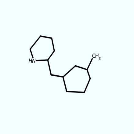 CC1CCCC(CC2CCCCN2)C1